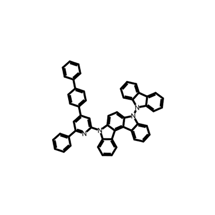 c1ccc(-c2ccc(-c3cc(-c4ccccc4)nc(-n4c5ccccc5c5c6c7ccccc7n(-n7c8ccccc8c8ccccc87)c6ccc54)c3)cc2)cc1